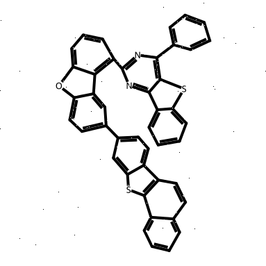 c1ccc(-c2nc(-c3cccc4oc5ccc(-c6ccc7c(c6)sc6c8ccccc8ccc76)cc5c34)nc3c2sc2ccccc23)cc1